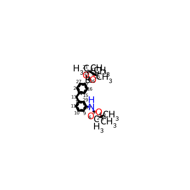 CC(C)(C)OC(=O)Nc1cccc(Cc2ccc(B3OC(C)(C)C(C)(C)O3)cc2)c1